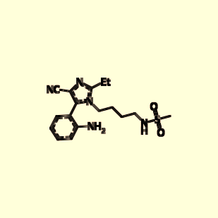 CCc1nc(C#N)c(-c2ccccc2N)n1CCCCNS(C)(=O)=O